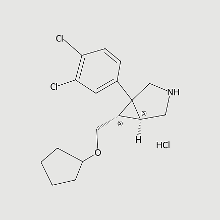 Cl.Clc1ccc(C23CNC[C@H]2[C@@H]3COC2CCCC2)cc1Cl